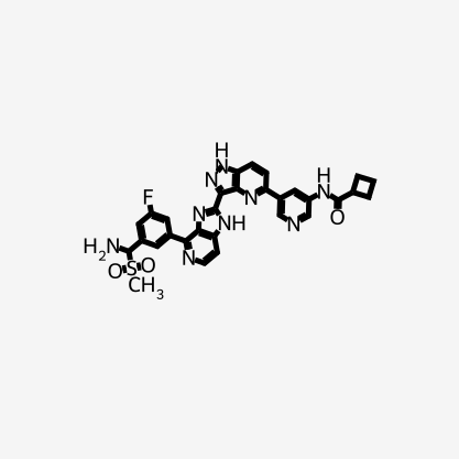 CS(=O)(=O)C(N)c1cc(F)cc(-c2nccc3[nH]c(-c4n[nH]c5ccc(-c6cncc(NC(=O)C7CCC7)c6)nc45)nc23)c1